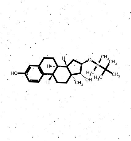 CC(C)(C)[Si](C)(C)O[C@@H]1C[C@H]2[C@@H]3CCc4cc(O)ccc4[C@H]3CC[C@]2(C)[C@H]1O